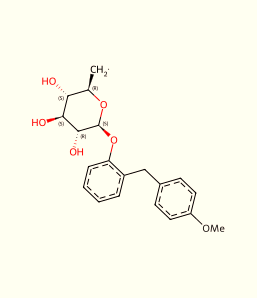 [CH2][C@H]1O[C@@H](Oc2ccccc2Cc2ccc(OC)cc2)[C@H](O)[C@@H](O)[C@@H]1O